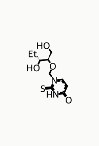 CC[C@@H](O)[C@@H](CO)OCn1ccc(=O)[nH]c1=S